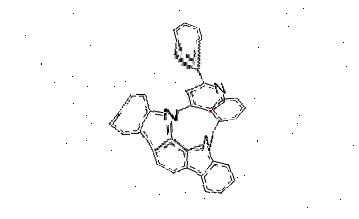 c1ccc(-c2cc(-n3c4ccccc4c4ccc5c6ccccc6n(-c6ccccc6)c5c43)ccn2)cc1